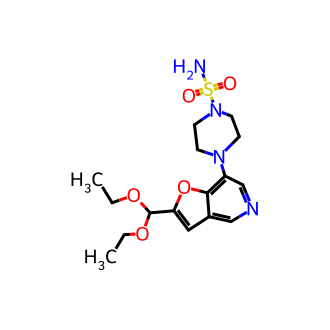 CCOC(OCC)c1cc2cncc(N3CCN(S(N)(=O)=O)CC3)c2o1